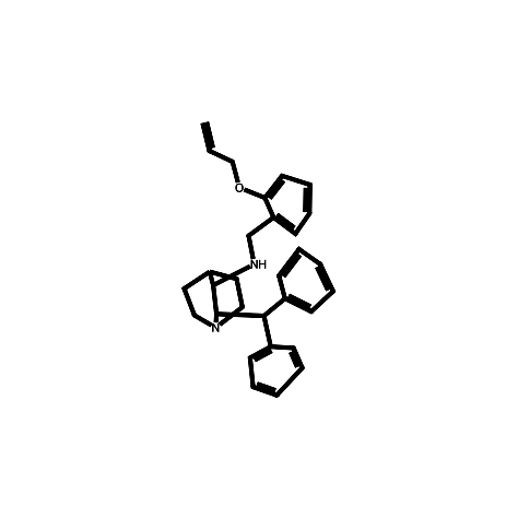 C=CCOc1ccccc1CNC1C2CCN(CC2)C1C(c1ccccc1)c1ccccc1